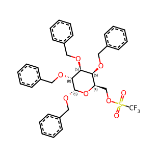 O=S(=O)(OC[C@H]1O[C@H](OCc2ccccc2)[C@H](OCc2ccccc2)[C@@H](OCc2ccccc2)[C@H]1OCc1ccccc1)C(F)(F)F